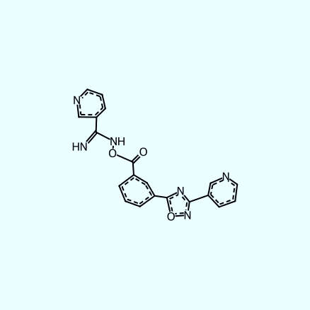 N=C(NOC(=O)c1cccc(-c2nc(-c3cccnc3)no2)c1)c1cccnc1